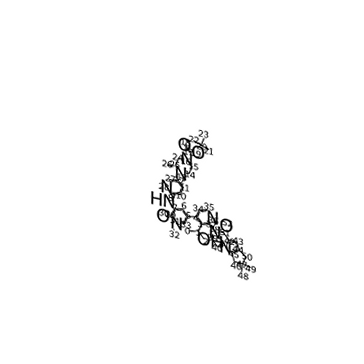 C[C@H](O)c1c(-c2cc(Nc3ccc(N4CCN(C(=O)OC(C)(C)C)C[C@@H]4C)cn3)c(=O)n(C)c2)ccnc1N1CCn2c(cc3c2CC(C)(C)C3)C1=O